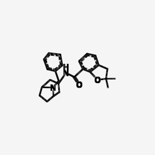 CC1(C)Cc2cccc(C(=O)NC3CC4CCC(C3)N4Cc3ccccc3)c2O1